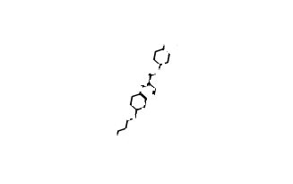 CCCCCC1CCc2cc(C(=O)OC3CCC(C)CC3)ccc2C1